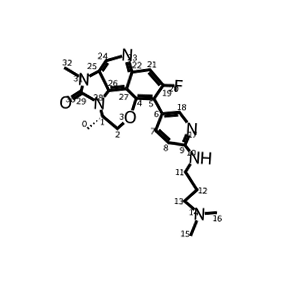 C[C@H]1COc2c(-c3ccc(NCCCN(C)C)nc3)c(F)cc3ncc4c(c23)n1c(=O)n4C